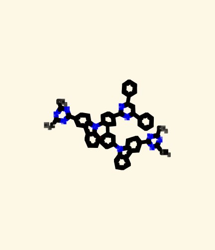 Cc1nc(C)nc(-c2ccc3c(c2)c2ccccc2n3-c2cccc(-c3cc(-c4nc(-c5ccccc5)cc(-c5ccccc5)n4)ccc3-n3c4ccccc4c4cc(-c5nc(C)nc(C)n5)ccc43)c2)n1